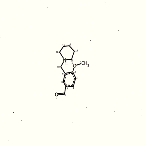 COc1ccc(C=O)cc1CN1CCCCC1